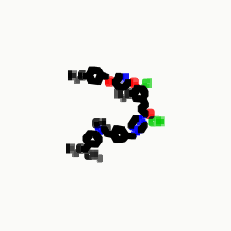 Cc1ccc(COc2ccc(Oc3c(C)cc(C=CC(=O)N4CCN(Cc5ccc(CCN(C)c6ccc(C(C)C)cc6)cc5)CC4)cc3Cl)nc2)cc1.Cl